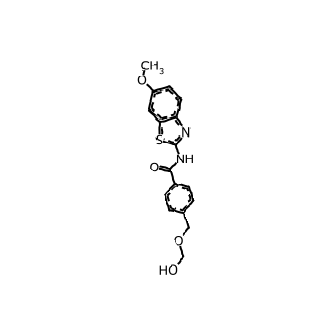 COc1ccc2nc(NC(=O)c3ccc(COCO)cc3)sc2c1